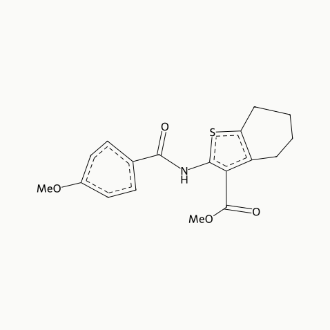 COC(=O)c1c(NC(=O)c2ccc(OC)cc2)sc2c1CCCC2